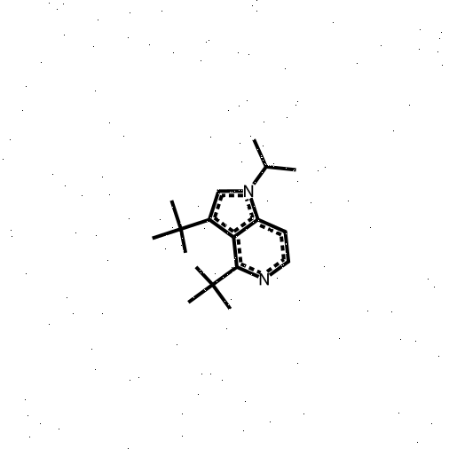 CC(C)n1cc(C(C)(C)C)c2c(C(C)(C)C)nccc21